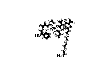 CC[C@H](C)[C@@H]([C@@H](CC(=O)N1CCC[C@H]1[C@H](OC)C(C)C(=O)N[C@H](C)[C@@H](O)c1ccccc1)OC)N(C)C(=O)[C@@H](NC(=O)C(C(C)C)N(C)C(=O)CCOCCOCCOCCN)C(C)C